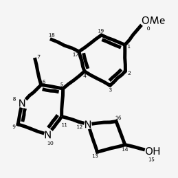 COc1ccc(-c2c(C)ncnc2N2CC(O)C2)c(C)c1